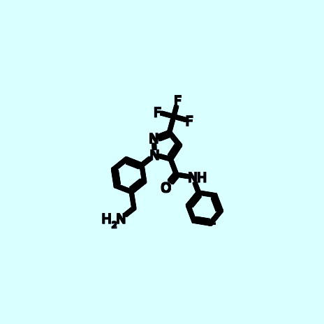 NCc1cccc(-n2nc(C(F)(F)F)cc2C(=O)Nc2cc[c]cc2)c1